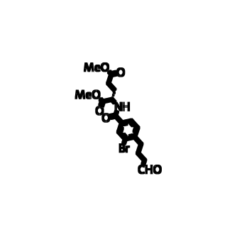 COC(=O)CC[C@H](NC(=O)c1ccc(CCCC=O)c(Br)c1)C(=O)OC